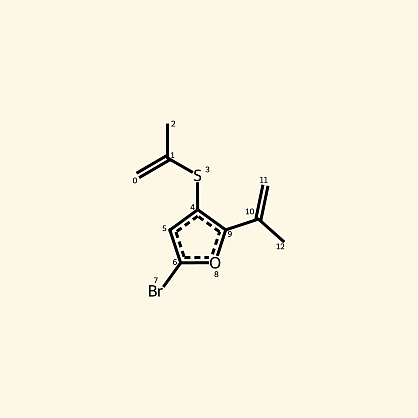 C=C(C)Sc1cc(Br)oc1C(=C)C